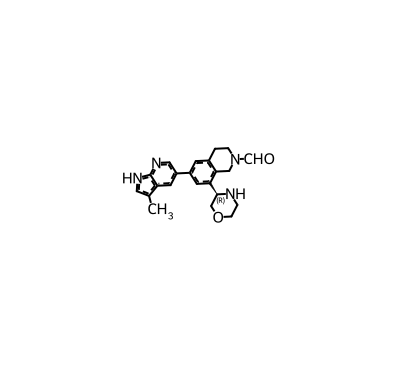 Cc1c[nH]c2ncc(-c3cc4c(c([C@@H]5COCCN5)c3)CN(C=O)CC4)cc12